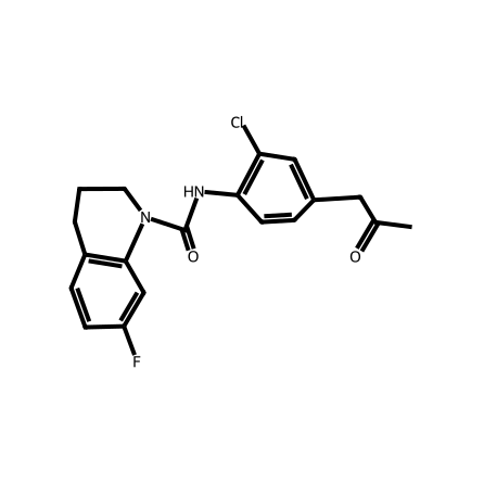 CC(=O)Cc1ccc(NC(=O)N2CCCc3ccc(F)cc32)c(Cl)c1